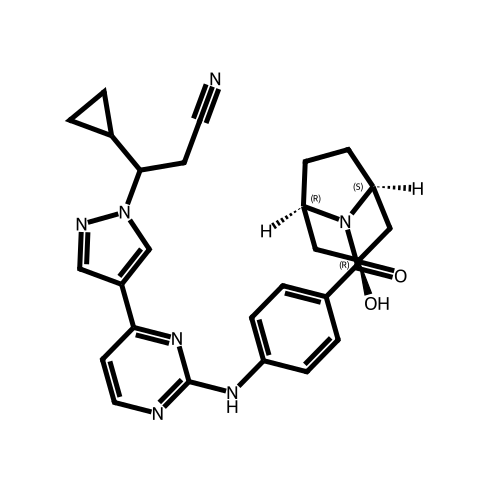 N#CCC(C1CC1)n1cc(-c2ccnc(Nc3ccc(C(=O)N4[C@@H]5CC[C@H]4C[C@@H](O)C5)cc3)n2)cn1